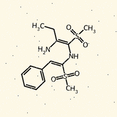 CCC(N)=C(NC(=Cc1ccccc1)S(C)(=O)=O)S(C)(=O)=O